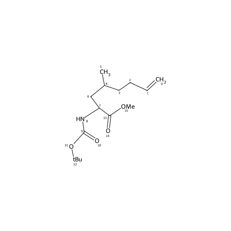 C=CCCC(C)CC(NC(=O)OC(C)(C)C)C(=O)OC